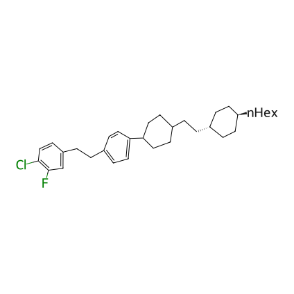 CCCCCC[C@H]1CC[C@H](CCC2CCC(c3ccc(CCc4ccc(Cl)c(F)c4)cc3)CC2)CC1